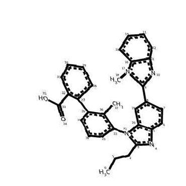 CCCc1nc2ccc(-c3nc4ccccc4n3C)cc2n1-c1cccc(-c2ccccc2C(=O)O)c1C